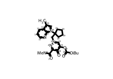 CNC(=O)c1nn(CC2(n3cc(C)c4cccnc43)CCCC2)cc(OC(=O)OCC(C)C)c1=O